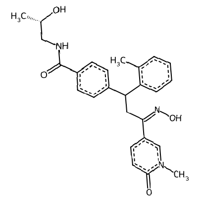 Cc1ccccc1C(C/C(=N/O)c1ccc(=O)n(C)c1)c1ccc(C(=O)NC[C@H](C)O)cc1